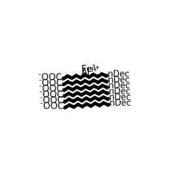 CCCCCCCCCCCCCCCCCCCCCC(=O)[O-].CCCCCCCCCCCCCCCCCCCCCC(=O)[O-].CCCCCCCCCCCCCCCCCCCCCC(=O)[O-].CCCCCCCCCCCCCCCCCCCCCC(=O)[O-].CCCCCCCCCCCCCCCCCCCCCC(=O)[O-].CCCCCCCCCCCCCCCCCCCCCC(=O)[O-].[Al+3].[Fe+3]